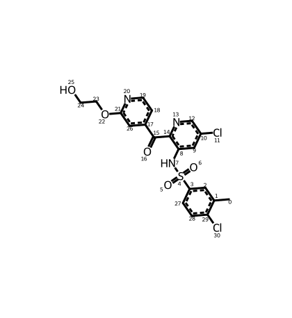 Cc1cc(S(=O)(=O)Nc2cc(Cl)cnc2C(=O)c2ccnc(OCCO)c2)ccc1Cl